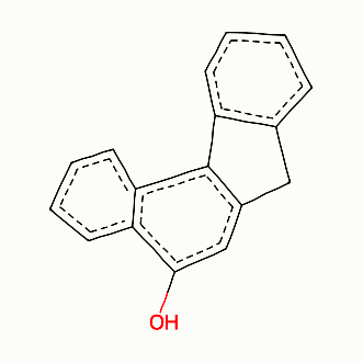 Oc1cc2c(c3ccccc13)-c1ccccc1C2